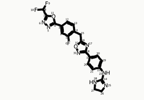 Fc1cc(-c2nnc(C(F)F)o2)ccc1Cc1nc(-c2ccc(NC3=NCCN3)cc2)no1